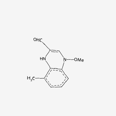 CON1C=C(C=O)Nc2c(C)cccc21